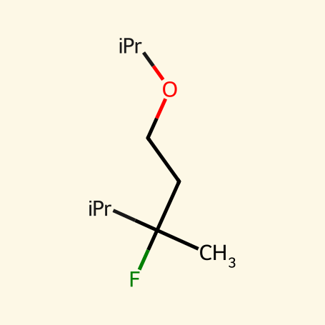 CC(C)OCCC(C)(F)C(C)C